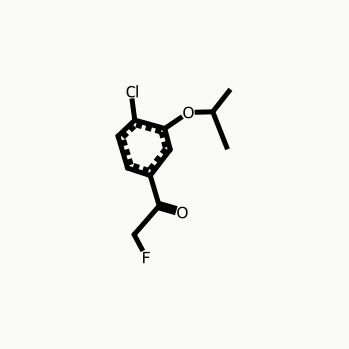 CC(C)Oc1cc(C(=O)CF)ccc1Cl